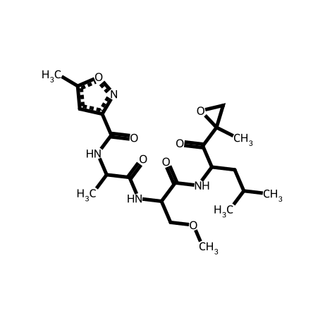 COCC(NC(=O)C(C)NC(=O)c1cc(C)on1)C(=O)NC(CC(C)C)C(=O)C1(C)CO1